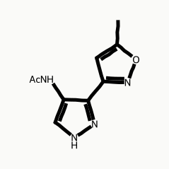 CC(=O)Nc1c[nH]nc1-c1cc(C)on1